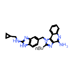 CCCCc1nc2c(N)nc3ccccc3c2n1Cc1ccc2[nH]c(NCC3CC3)nc2c1